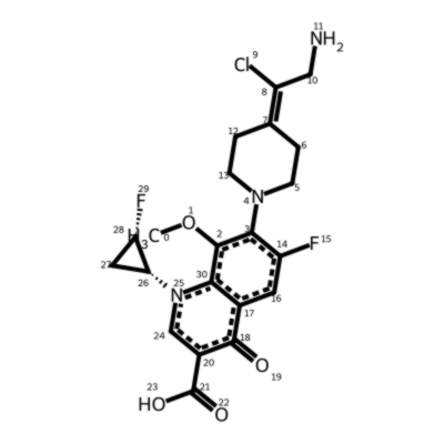 COc1c(N2CCC(=C(Cl)CN)CC2)c(F)cc2c(=O)c(C(=O)O)cn([C@@H]3C[C@@H]3F)c12